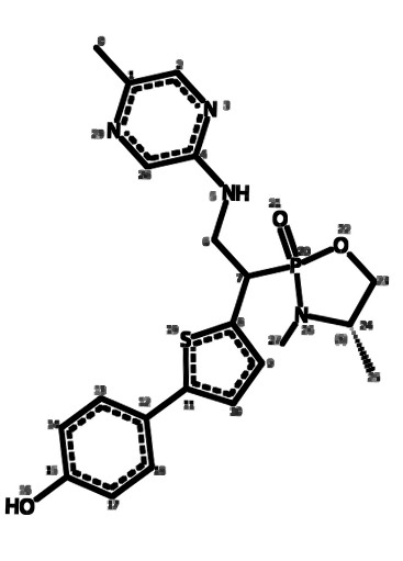 Cc1cnc(NCC(c2ccc(-c3ccc(O)cc3)s2)P2(=O)OC[C@H](C)N2C)cn1